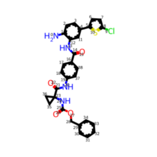 Nc1ccc(-c2ccc(Cl)s2)cc1NC(=O)c1ccc(NC(=O)C2(NC(=O)OCc3ccccc3)CC2)cc1